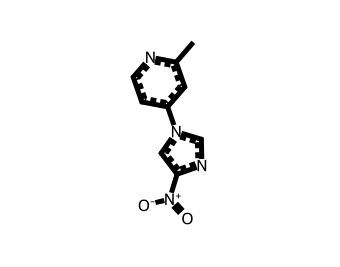 Cc1cc(-n2cnc([N+](=O)[O-])c2)ccn1